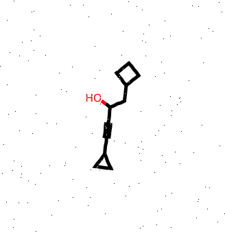 OC(C#CC1CC1)CC1CCC1